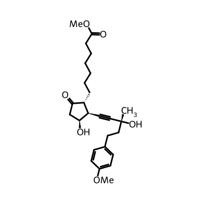 COC(=O)CCCCCC[C@H]1C(=O)C[C@H](O)[C@@H]1C#C[C@](C)(O)CCc1ccc(OC)cc1